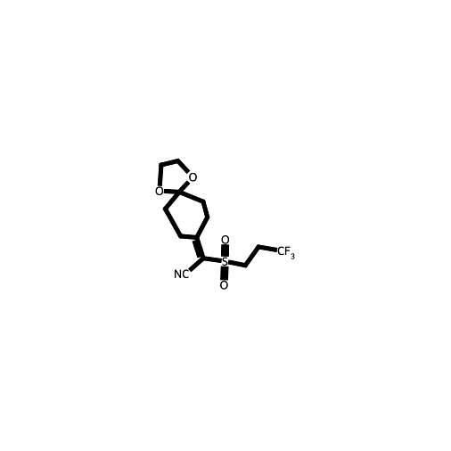 N#CC(=C1CCC2(CC1)OCCO2)S(=O)(=O)CCC(F)(F)F